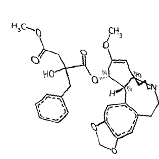 COC(=O)CC(O)(Cc1ccccc1)C(=O)O[C@@H]1C(OC)=C[C@]23CCCN2CCc2cc4c(cc2[C@H]13)OCO4